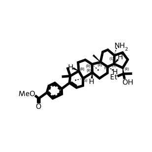 CCC(C)(O)[C@@H]1CC[C@]2(N)CC[C@]3(C)[C@H](CC[C@@H]4[C@@]5(C)CC=C(c6ccc(C(=O)OC)cc6)C(C)(C)[C@@H]5CC[C@]43C)[C@@H]12